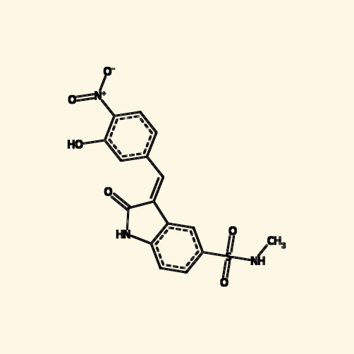 CNS(=O)(=O)c1ccc2c(c1)C(=Cc1ccc([N+](=O)[O-])c(O)c1)C(=O)N2